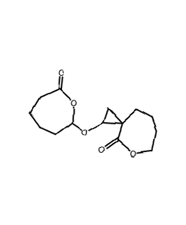 O=C1CCCCC(OC2CC23CCCCOC3=O)O1